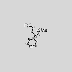 CSCC(CCC(F)(F)F)N1CCOCC1